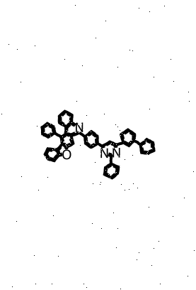 c1ccc(-c2cccc(-c3cc(-c4ccc(-c5nc6ccccc6c6c(-c7ccccc7)c7c(cc56)oc5ccccc57)cc4)nc(-c4ccccc4)n3)c2)cc1